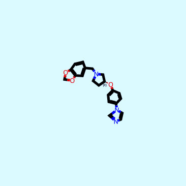 c1cn(-c2ccc(O[C@@H]3CCN(Cc4ccc5c(c4)OCO5)C3)cc2)cn1